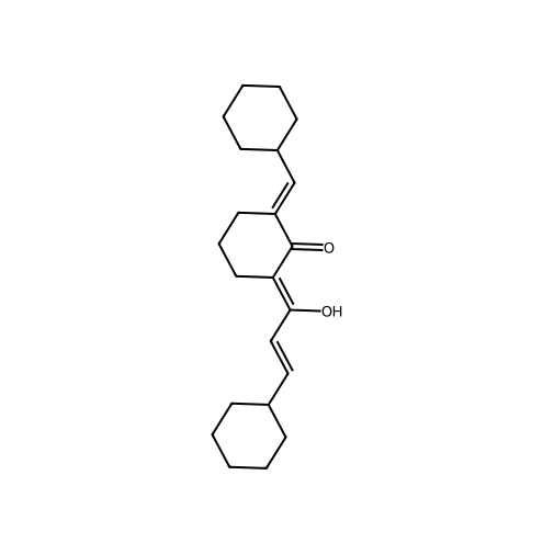 O=C1/C(=C(O)/C=C/C2CCCCC2)CCC/C1=C\C1CCCCC1